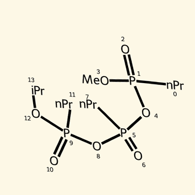 CCCP(=O)(OC)OP(=O)(CCC)OP(=O)(CCC)OC(C)C